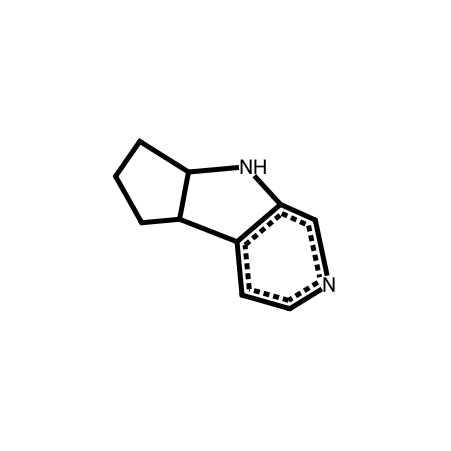 c1cc2c(cn1)NC1CCCC21